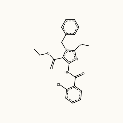 CCOC(=O)c1c(NC(=O)c2ccccc2Cl)nc(SC)n1Cc1ccccc1